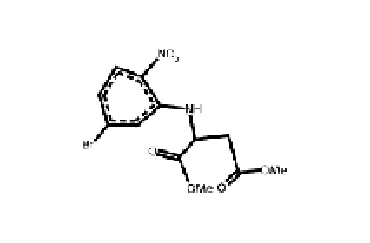 COC(=O)CC(Nc1cc(Br)ccc1[N+](=O)[O-])C(=O)OC